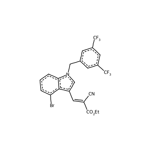 CCOC(=O)/C(C#N)=C/c1cn(Cc2cc(C(F)(F)F)cc(C(F)(F)F)c2)c2cccc(Br)c12